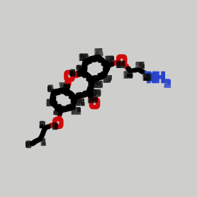 CCCOc1ccc2oc3ccc(OCCN)cc3c(=O)c2c1